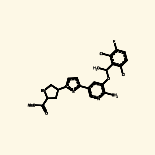 COC(=O)C1CC(n2ccc(-c3cnc(N)c(OC(C)c4c(Cl)ccc(F)c4Cl)c3)n2)CN1